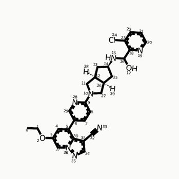 CCOc1cc(-c2ccc(N3C[C@H]4C[C@@H](NC(O)c5ncccc5Cl)C[C@H]4C3)nc2)c2c(C#N)cnn2c1